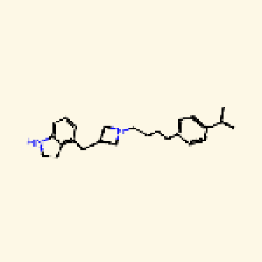 CC(C)c1ccc(CCCCN2CC(Cc3cccc4c3CCN4)C2)cc1